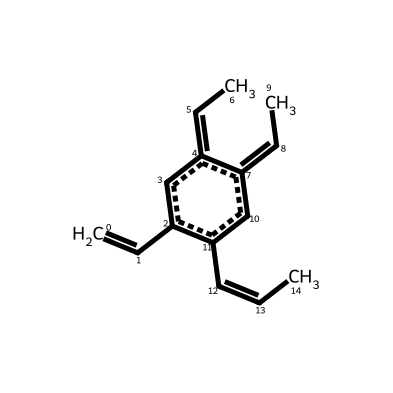 C=Cc1cc(=C/C)/c(=C\C)cc1/C=C\C